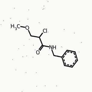 COCC(Cl)C(=O)NCc1ccccc1